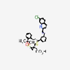 CC(C)(O)c1ccccc1CC[C@@H](SC[C@@]1(CC(=O)O)C[C@H]1F)c1cccc(/C=C/c2ccc3ccc(Cl)cc3n2)c1